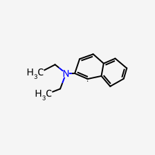 CCN(CC)c1[c]c2ccccc2cc1